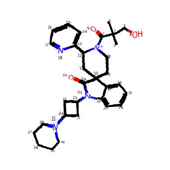 CC(C)(CO)C(=O)N1CCC2(CC1c1ccccn1)C(=O)N(C1CC(N3CCCCC3)C1)c1ccccc12